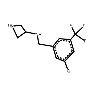 FC(F)(F)c1cc(Cl)cc(CNC2CNC2)c1